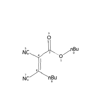 CCCCOC(=O)C(C#N)=C(C#N)CCCC